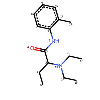 CCC(C(=O)Nc1ccccc1C)N(CC)CC